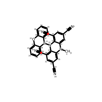 CN1c2cc(C#N)cc(C#N)c2N(B2c3ccccc3Oc3ccccc32)c2c(C#N)cc(C#N)cc21